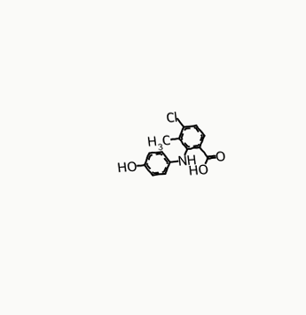 Cc1c(Cl)ccc(C(=O)O)c1Nc1ccc(O)cc1